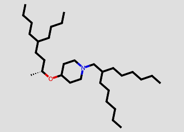 CCCCCCC(CCCCCC)CN1CCC(O[C@H](C)CCC(CCCC)CCCC)CC1